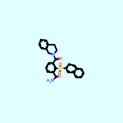 NC(=O)c1cccc(C(=O)N2CCc3ccccc3C2)c1S(=O)(=O)c1ccc2ccccc2c1